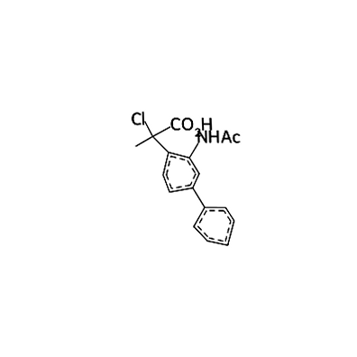 CC(=O)Nc1cc(-c2ccccc2)ccc1C(C)(Cl)C(=O)O